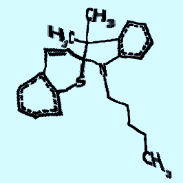 CCCCCN1c2ccccc2C(C)(C)C12C=Cc1ccccc1S2